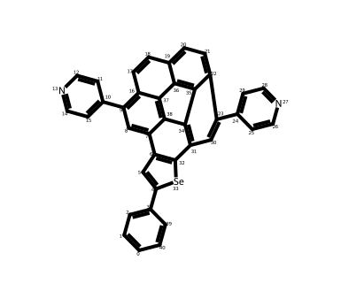 c1ccc(-c2cc3c4cc(-c5ccncc5)c5ccc6ccc7c(-c8ccncc8)cc(c3[se]2)c2c7c6c5c42)cc1